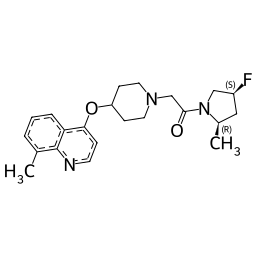 Cc1cccc2c(OC3CCN(CC(=O)N4C[C@@H](F)C[C@H]4C)CC3)ccnc12